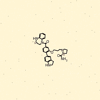 C[C@H]1CCN(C(=O)c2ccc(-c3ccc4c(c3)CCN4)c(OCCCN3CCC[C@H]3C(N)=O)c2)c2ccccc2N1